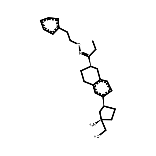 CC/C(=N\OCCc1ccccc1)[C@@H]1CCc2cc([C@H]3CC[C@](N)(CO)C3)ccc2C1